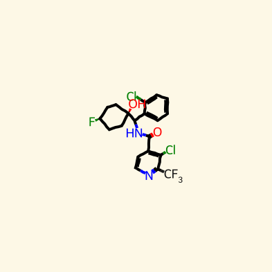 O=C(NC(c1ccccc1Cl)[C@]1(O)CC[C@@H](F)CC1)c1ccnc(C(F)(F)F)c1Cl